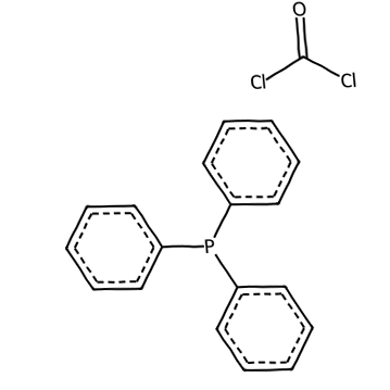 O=C(Cl)Cl.c1ccc(P(c2ccccc2)c2ccccc2)cc1